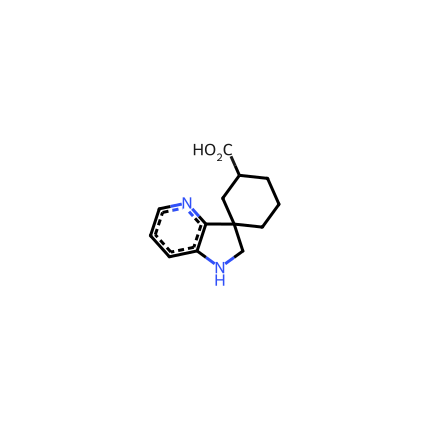 O=C(O)C1CCCC2(CNc3cccnc32)C1